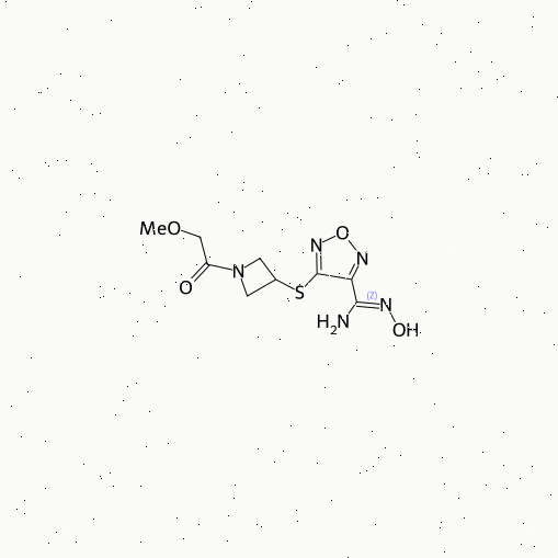 COCC(=O)N1CC(Sc2nonc2/C(N)=N/O)C1